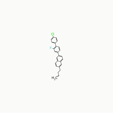 C=CCCc1ccc2cc(-c3ccc(-c4ccc(Cl)cc4)c(F)c3)ccc2c1